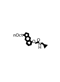 CCCCCCCCC1CCC2Cc3c(cccc3OCC(=O)NCC3CC3)CC12